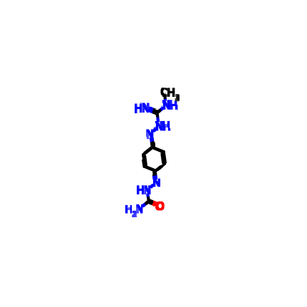 CNC(=N)NN=C1C=CC(=NNC(N)=O)C=C1